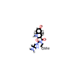 COCCN(C(=O)NCC(C)(C)N(C)C)C(=O)[C@@H]1C[C@@H]2CC(=O)CC[C@H]2N(C)C1